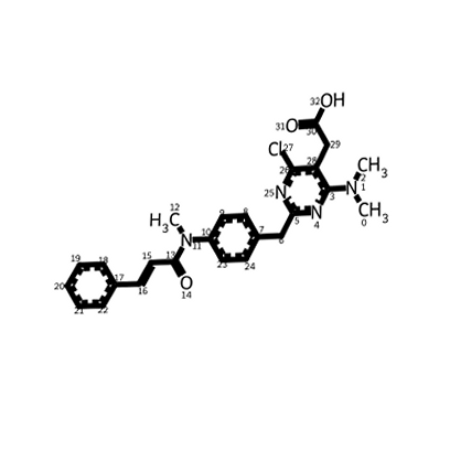 CN(C)c1nc(Cc2ccc(N(C)C(=O)/C=C/c3ccccc3)cc2)nc(Cl)c1CC(=O)O